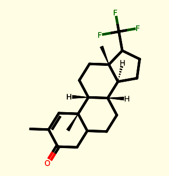 CC1=C[C@@]2(C)C(CC[C@@H]3[C@H]2CC[C@]2(C)C(C(F)(F)F)CC[C@@H]32)CC1=O